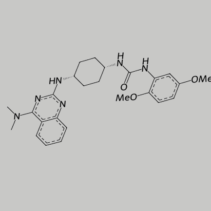 COc1ccc(OC)c(NC(=O)N[C@H]2CC[C@@H](Nc3nc(N(C)C)c4ccccc4n3)CC2)c1